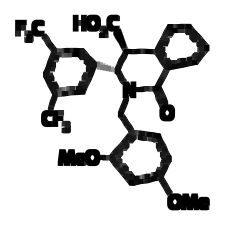 COc1ccc(CN2C(=O)c3ccccc3[C@H](C(=O)O)[C@H]2c2cc(C(F)(F)F)cc(C(F)(F)F)c2)c(OC)c1